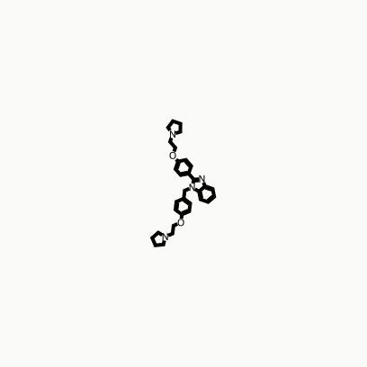 c1ccc2c(c1)nc(-c1ccc(OCCN3CCCC3)cc1)n2Cc1ccc(OCCN2CCCC2)cc1